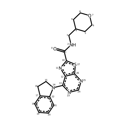 O=C(NCC1CCOCC1)c1nc2c(N3CCc4ccccc43)ncnc2s1